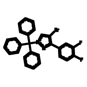 Fc1ccc(-c2nn(C(c3ccccc3)(c3ccccc3)c3ccccc3)cc2Br)cc1F